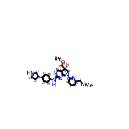 CNCc1cccc(N2C[C@@](C)(COC(C)C)c3cnc(Nc4ccc([C@H]5CCNC5)cc4)nc32)n1